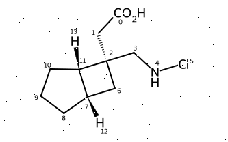 O=C(O)C[C@]1(CNCl)C[C@@H]2CCC[C@@H]21